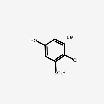 O=S(=O)(O)c1cc(O)ccc1O.[Ca]